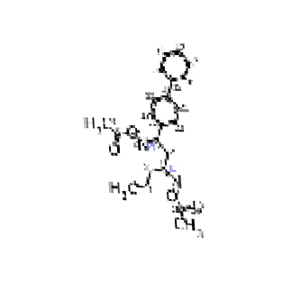 CCC/C(C/C(=N/OC(C)=O)c1ccc(-c2ccccc2)cc1)=N\OC(C)=O